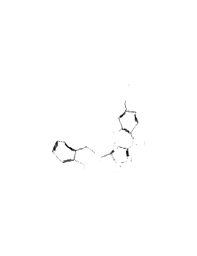 COc1ccc(Nc2n[nH]c(SCc3ccccc3F)n2)c(C)c1